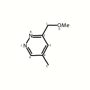 COCc1cc(C)cnn1